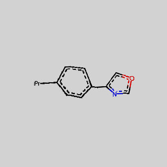 CC(C)c1ccc(-c2cocn2)cc1